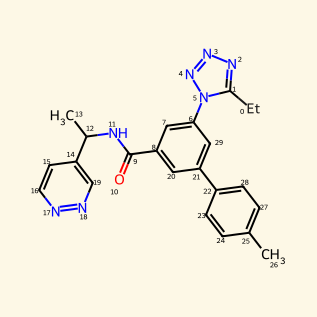 CCc1nnnn1-c1cc(C(=O)NC(C)c2ccnnc2)cc(-c2ccc(C)cc2)c1